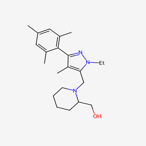 CCn1nc(-c2c(C)cc(C)cc2C)c(C)c1CN1CCCCC1CO